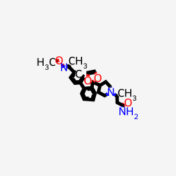 CON=C(C)c1ccc(-c2ccccc2C2(C3CCN(C(C)CC(N)=O)CC3)OC=CO2)cc1